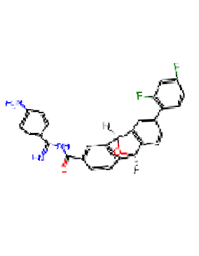 N=C(NC(=O)c1ccc2c(c1)[C@@H]1O[C@H]2c2ccc(-c3ccc(F)cc3F)cc21)c1ccc(N)cc1